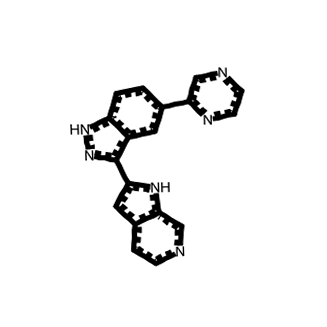 c1cnc(-c2ccc3[nH]nc(-c4cc5ccncc5[nH]4)c3c2)cn1